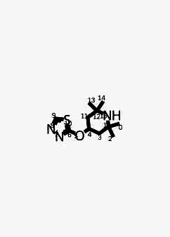 CC1(C)CC(Oc2nncs2)CC(C)(C)N1